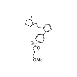 COCCCS(=O)(=O)c1ccc(-c2ccccc2CCN2CCCC2C)cc1